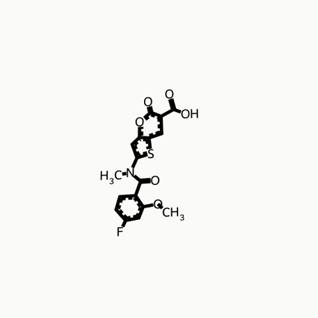 COc1cc(F)ccc1C(=O)N(C)c1cc2oc(=O)c(C(=O)O)cc2s1